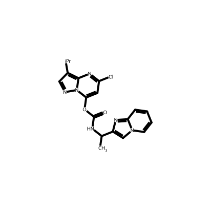 CC(C)c1cnn2c(OC(=O)NC(C)c3cn4ccccc4n3)cc(Cl)nc12